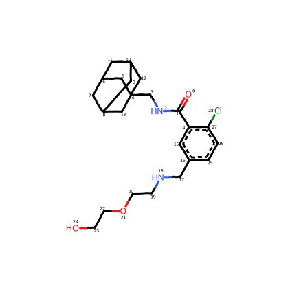 O=C(NCC12CC3CC(CC(C3)C1)C2)c1cc(CNCCOCCO)ccc1Cl